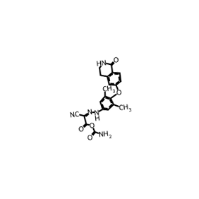 Cc1cc(NN=C(C#N)C(=O)OC(N)=O)cc(C)c1Oc1ccc2c(c1)CCNC2=O